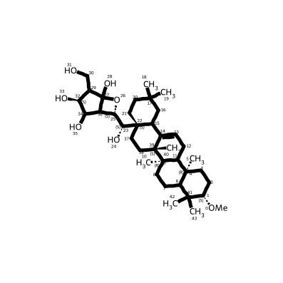 CO[C@H]1CC[C@@]2(C)C(CC[C@]3(C)C2CC=C2C4CC(C)(C)CC[C@]4([C@H](O)[C@H]4OC5(O)C(CO)[C@H](O)C(O)C45)CC[C@]23C)C1(C)C